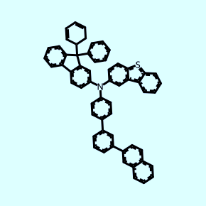 C1=CCC(C2(c3ccccc3)c3ccccc3-c3ccc(N(c4ccc(-c5cccc(-c6ccc7ccccc7c6)c5)cc4)c4ccc5sc6ccccc6c5c4)cc32)C=C1